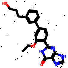 CCOc1cc(-c2cccc(CCCO)c2)ccc1-c1nc2[nH]cnc2c(=O)[nH]1